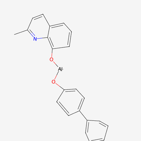 Cc1ccc2cccc([O][Al][O]c3ccc(-c4ccccc4)cc3)c2n1